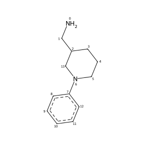 NCC1CCCN(c2ccccc2)C1